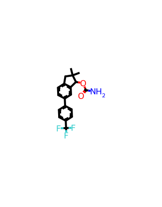 CC1(C)Cc2ccc(-c3ccc(C(F)(F)F)cc3)cc2C1OC(N)=O